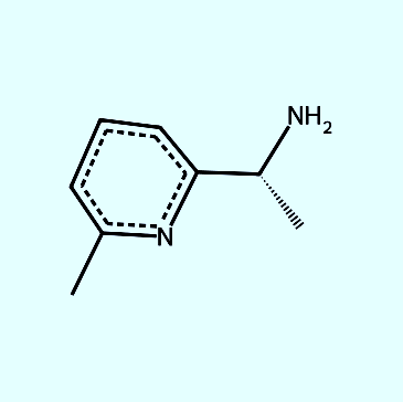 Cc1cccc([C@@H](C)N)n1